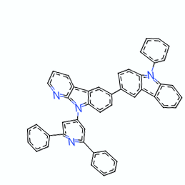 c1ccc(-c2cc(-n3c4ccc(-c5ccc6c(c5)c5ccccc5n6-c5ccccc5)cc4c4cccnc43)cc(-c3ccccc3)n2)cc1